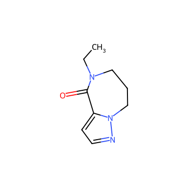 CCN1CCCn2nccc2C1=O